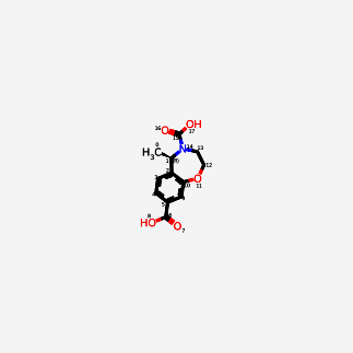 C[C@@H]1c2ccc(C(=O)O)cc2OCCN1C(=O)O